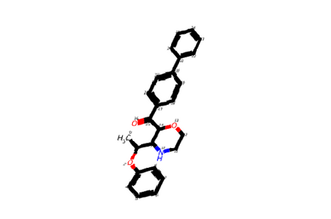 CC(Oc1ccccc1)C1NCCOC1C(=O)c1ccc(-c2ccccc2)cc1